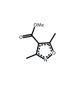 COC(=O)c1c(C)noc1C